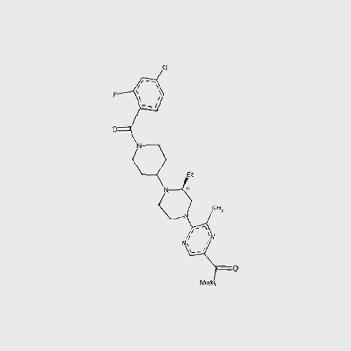 CC[C@H]1CN(c2ncc(C(=O)NC)nc2C)CCN1C1CCN(C(=O)c2ccc(Cl)cc2F)CC1